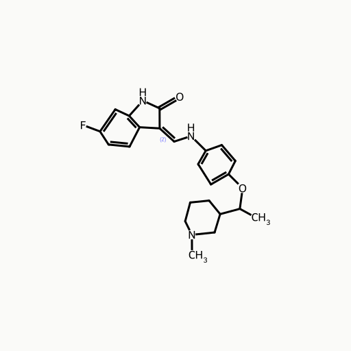 CC(Oc1ccc(N/C=C2\C(=O)Nc3cc(F)ccc32)cc1)C1CCCN(C)C1